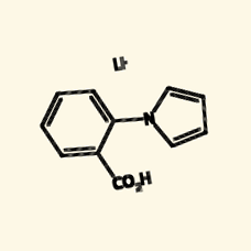 O=C(O)c1ccccc1-n1cccc1.[Li]